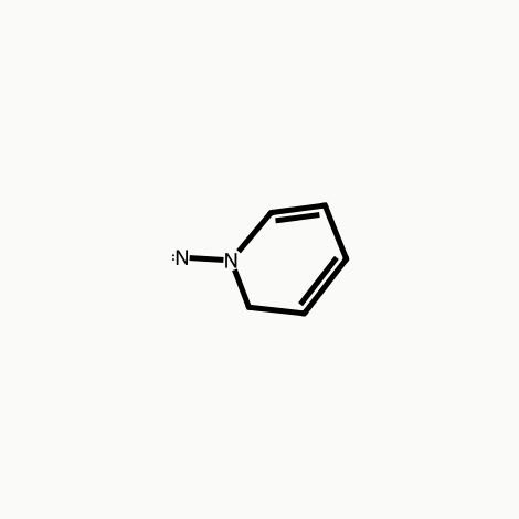 [N]N1C=CC=CC1